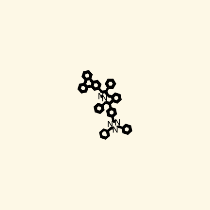 C1=CCCC(c2nc(-c3ccccc3)nc(-c3ccc(-c4c(-c5ccccc5)n5nc(-c6ccc7c8ccccc8c8ccccc8c7c6)c(-c6ccccc6)c5c5ccccc45)cc3)n2)=C1